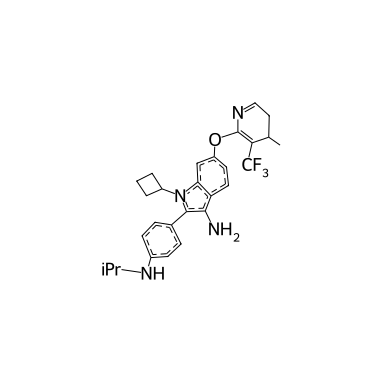 CC(C)Nc1ccc(-c2c(N)c3ccc(OC4=C(C(F)(F)F)C(C)CC=N4)cc3n2C2CCC2)cc1